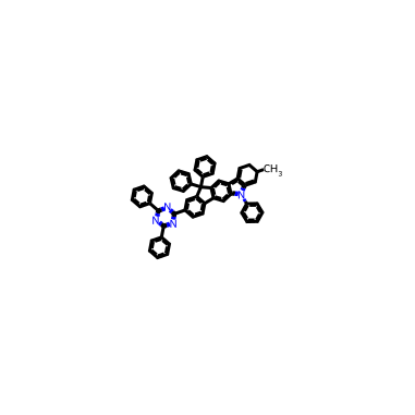 CC1C=c2c(c3cc4c(cc3n2-c2ccccc2)-c2ccc(-c3nc(-c5ccccc5)nc(-c5ccccc5)n3)cc2C4(c2ccccc2)c2ccccc2)=CC1